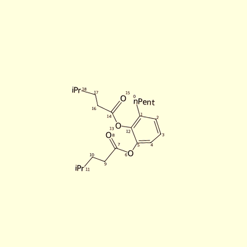 CCCCCc1cccc(OC(=O)CCC(C)C)c1OC(=O)CCC(C)C